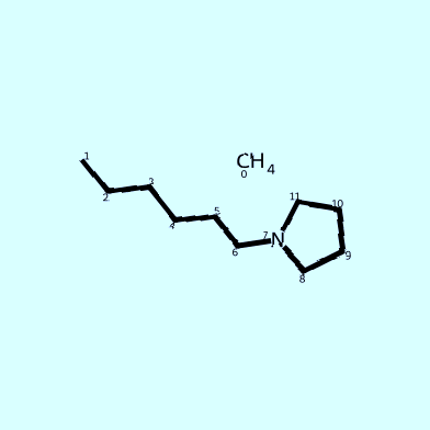 C.CCCCCCN1CCCC1